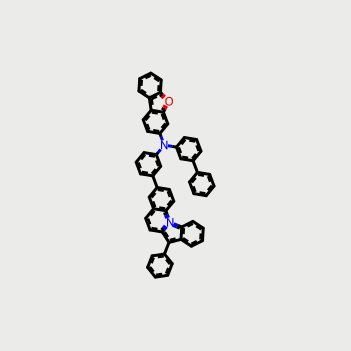 c1ccc(-c2cccc(N(c3cccc(-c4ccc5c(ccc6c(-c7ccccc7)c7ccccc7n65)c4)c3)c3ccc4c(c3)oc3ccccc34)c2)cc1